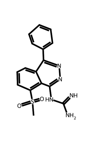 CS(=O)(=O)c1cccc2c(-c3ccccc3)nnc(NC(=N)N)c12